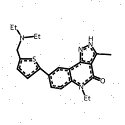 CCN(CC)Cc1ccc(-c2ccc3c(c2)c2n[nH]c(C)c2c(=O)n3CC)s1